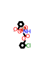 COC(=O)c1ccccc1S(=O)(=O)NCC(=O)OCc1ccccc1Cl